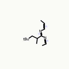 C\C=C/N=C(\N=C/C)C(C)CC(C)(C)C